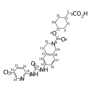 O=C(O)CC1CCC(OC(=O)N2CCc3cc(NC(=O)Nc4ccc(Cl)cn4)ccc3C2)CC1